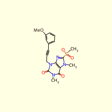 COc1cccc(C#CCn2c(=O)n(C)c(=O)c3c2nc(S(C)(=O)=O)n3C)c1